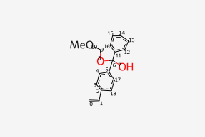 C=Cc1ccc(C(O)(OCOC)c2ccccc2)cc1